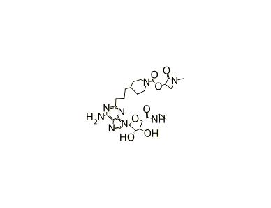 CCNC(=O)[C@H]1O[C@@H](n2cnc3c(N)nc(CCCC4CCN(C(=O)OC5CN(C)C5=O)CC4)nc32)[C@@H](O)C1O